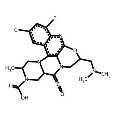 CC1CN2c3c4c(nc5c(F)cc(Cl)cc35)OC(CN(C)C)CN4C(=C=O)C2CN1C(=O)O